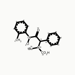 Cc1ccccc1N(Cl)C(=O)C(c1ccccc1)N(C(=O)O)C(C)(C)C